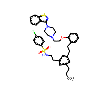 O=C(O)CCc1cc(CCNS(=O)(=O)c2ccc(Cl)cc2)cc(CCc2ccccc2OCCN2CCN(c3nsc4ccccc34)CC2)c1